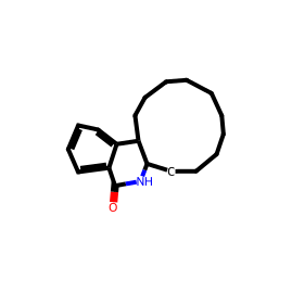 O=C1NC2CCCCCCCCCCC2c2ccccc21